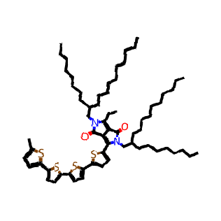 CCCCCCCCCCC(CCCCCCCC)CN1C(=O)C2=C(c3ccc(-c4ccc(-c5ccc(-c6ccc(C)s6)s5)s4)s3)N(CC(CCCCCCCC)CCCCCCCCCC)C(=O)C2=C1CC